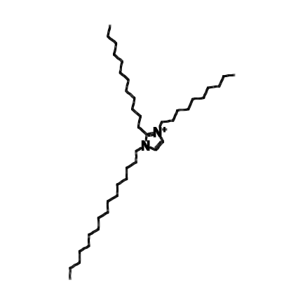 CCCCCCCCCCCCCCCCn1cc[n+](CCCCCCCCCC)c1CCCCCCCCCCCC